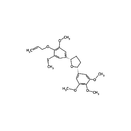 C=CCOc1c(OC)cc([C@@H]2CC[C@H](c3cc(OC)c(OC)c(OC)c3)O2)cc1SC